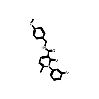 COc1ccc(CNC(=O)c2ccc(C)n(-c3cccc(Br)c3)c2=O)cc1